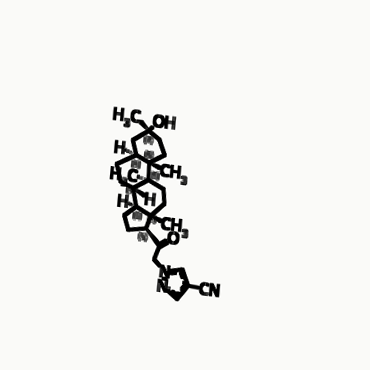 C[C@@]1(O)CC[C@@]2(C)[C@@H](CC[C@H]3[C@@H]4CC[C@H](C(=O)Cn5cc(C#N)cn5)[C@@]4(C)CC[C@@]32C)C1